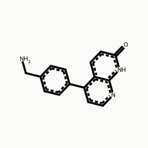 NCc1ccc(-c2ccnc3[nH]c(=O)ccc23)cc1